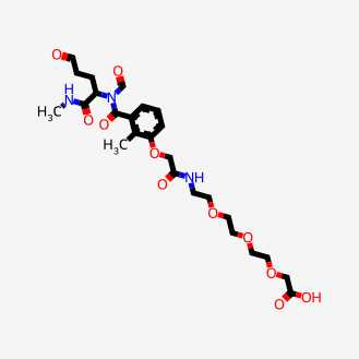 CNC(=O)C(CCC=O)N(C=O)C(=O)c1cccc(OCC(=O)NCCOCCOCCOCC(=O)O)c1C